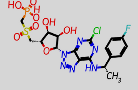 C[C@H](Nc1nc(Cl)nc2c1nnn2[C@@H]1O[C@H](CS(=O)(=O)CP(=O)(O)O)[C@@H](O)[C@H]1O)c1ccc(F)cc1